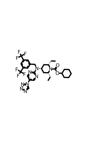 CC[C@@H]1C[C@H](N(Cc2cc(C(F)(F)F)cc(C(F)(F)F)c2)c2ncc(-n3cnnn3)cn2)C[C@H](CC)N1C(=O)OC1CCCCC1